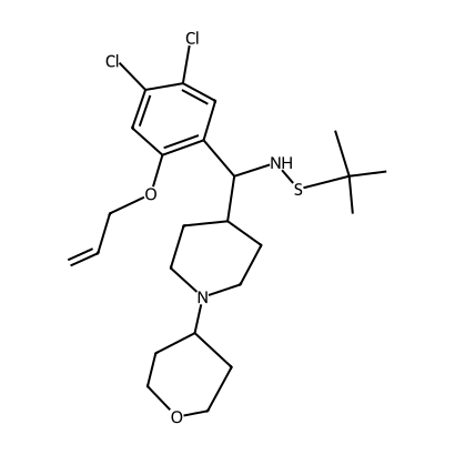 C=CCOc1cc(Cl)c(Cl)cc1C(NSC(C)(C)C)C1CCN(C2CCOCC2)CC1